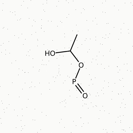 CC(O)OP=O